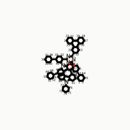 c1ccc(-c2ccc(-c3nc(-c4ccc5c6ccccc6c6ccccc6c5c4)nc(-c4ccc(-c5ccccc5)cc4-n4c5cc(-c6ccccc6)ccc5c5c(-c6cccc7c6c6ccccc6n7-c6ccccc6)cccc54)n3)cc2)cc1